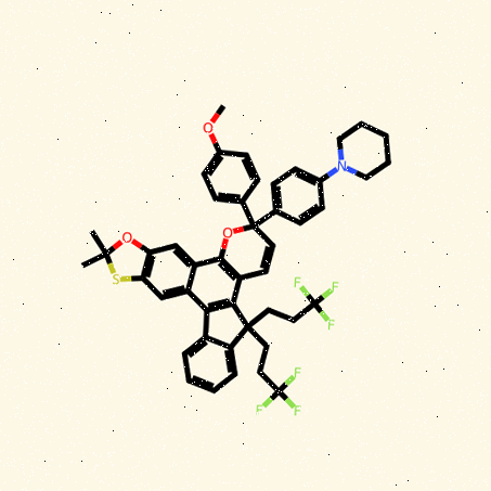 COc1ccc(C2(c3ccc(N4CCCCC4)cc3)C=Cc3c4c(c5cc6c(cc5c3O2)OC(C)(C)S6)-c2ccccc2C4(CCC(F)(F)F)CCC(F)(F)F)cc1